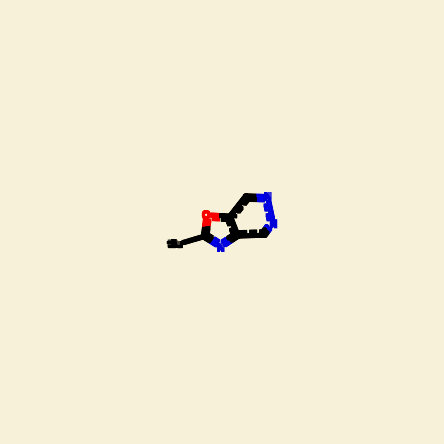 CC(C)(C)c1nc2cnncc2o1